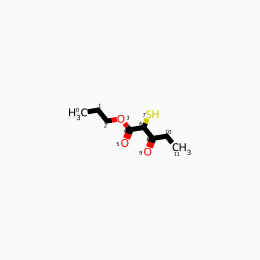 CCCOC(=O)C(S)C(=O)CC